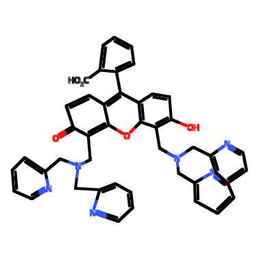 O=C(O)c1ccccc1-c1c2ccc(=O)c(CN(Cc3ccccn3)Cc3ccccn3)c-2oc2c(CN(Cc3ccccn3)Cc3ccccn3)c(O)ccc12